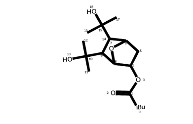 CCC(C)C(=O)OC1CC2OC1C(C(C)(C)O)C2C(C)(C)O